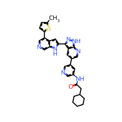 Cc1ccc(-c2cncc3[nH]c(-c4n[nH]c5ncc(-c6cncc(NC(=O)CC7CCCCC7)c6)cc45)cc23)s1